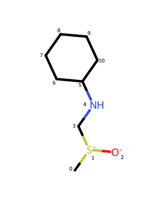 C[S+]([O-])CNC1CCCCC1